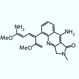 C=C(OC)/C(=C\C=C(/N)OC)c1cccc2c(N)c3c(nc12)CN(C)C3=O